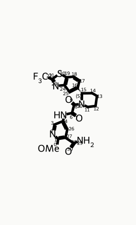 COc1ncc(NC(=O)C(=O)N2CCCC[C@H]2c2ccc3sc(C(F)(F)F)nc3c2)cc1C(N)=O